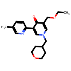 CCOCc1cn(CC2CCOCC2)cc(-c2ccc(C)cn2)c1=O